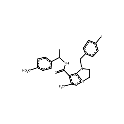 CC(NC(=O)c1c(C(F)(F)F)nn2c1N(Cc1ccc(I)cc1)CC2)c1ccc(C(=O)O)cc1